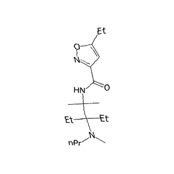 CCCN(C)C(CC)(CC)C(C)(C)NC(=O)c1cc(CC)on1